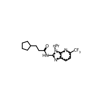 CCCn1c(NC(=O)CCC2CCCC2)nc2ccc(C(F)(F)F)nc21